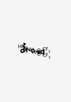 O=S(=O)(NC[C@H]1CC[C@H](CNc2nc(NC3CC3)c3ccccc3n2)CC1)c1cc(C(F)(F)F)cc(C(F)(F)F)c1